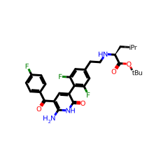 CC(C)C[C@H](NCCc1cc(F)c(-c2cc(C(=O)c3ccc(F)cc3)c(N)[nH]c2=O)c(F)c1)C(=O)OC(C)(C)C